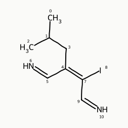 CC(C)C/C(C=N)=C(\I)C=N